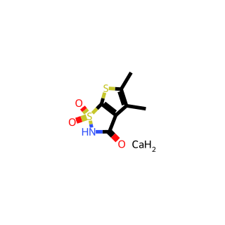 Cc1sc2c(c1C)C(=O)NS2(=O)=O.[CaH2]